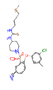 CSCCCNC(=S)NC1CCN(S(=O)(=O)c2cc(C#N)ccc2Oc2cc(C)cc(Cl)c2)CC1